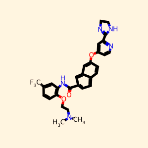 CN(C)CCOc1ccc(C(F)(F)F)cc1NC(=O)c1ccc2ccc(Oc3ccnc(C4=NCCN4)c3)cc2c1